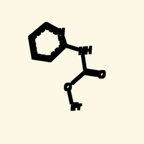 CC(C)OC(=O)Nc1ccccn1